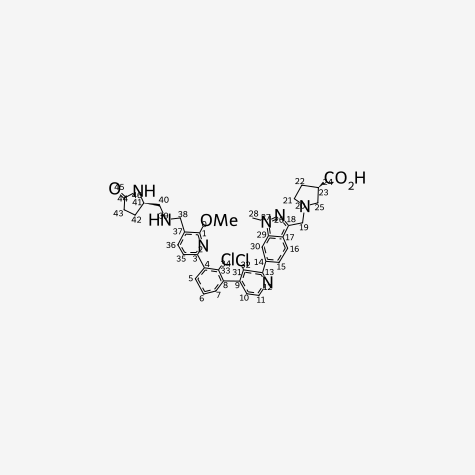 COc1nc(-c2cccc(-c3ccnc(-c4ccc5c(CN6CC[C@@H](C(=O)O)C6)nn(C)c5c4)c3Cl)c2Cl)ccc1CNC[C@H]1CCC(=O)N1